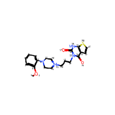 COc1ccccc1N1CCN(CCCn2c(=O)[nH]c3sccc3c2=O)CC1